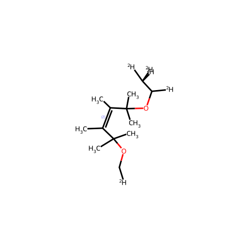 [2H]COC(C)(C)/C(C)=C(/C)C(C)(C)OC([2H])C([2H])([2H])[2H]